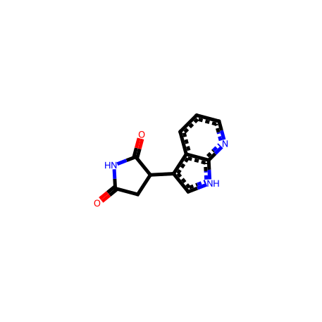 O=C1CC(c2c[nH]c3ncccc23)C(=O)N1